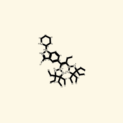 CCC(B1OC(CC)(CC)C(CC)(CC)O1)=C(B1OC(CC)(CC)C(CC)(CC)O1)c1ccc2c(c1)c(F)nn2C1CCCCO1